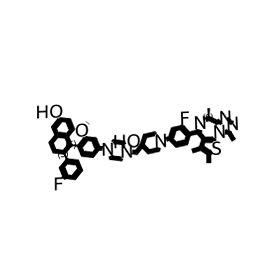 COc1cc(N2CCN(CC3(O)CCN(c4ccc(C5=N[C@@H](C)c6nnc(C)n6-c6sc(C)c(C)c65)c(F)c4)CC3)CC2)ccc1[C@@H]1c2ccc(O)cc2CC[C@@H]1c1cccc(F)c1